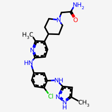 Cc1cc(Nc2cc(Nc3ccc(C4CCN(CC(N)=O)CC4)c(C)n3)ccc2Cl)n[nH]1